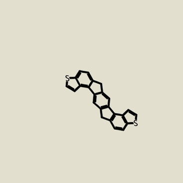 c1cc2c3c(ccc2s1)Cc1cc2c(cc1-3)Cc1ccc3sccc3c1-2